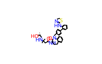 C[C@@H](O)CNC(C)(C)CC(=O)N[C@@H]1CCc2ccccc2N(Cc2ccc(-c3ccccc3NC3=NCCS3)cc2)C1=O